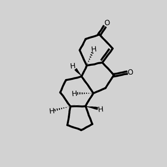 O=C1C=C2C(=O)C[C@H]3[C@@H]4CCC[C@H]4CC[C@@H]3[C@H]2CC1